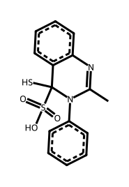 CC1=Nc2ccccc2C(S)(S(=O)(=O)O)N1c1ccccc1